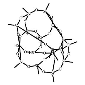 C[Si]12O[SiH]3O[SiH]4O[SiH]5O[SiH](O3)O[Si]3(C)O[Si](C)(O1)O[Si]1(C)O[Si]6(C)O[Si](C)(O2)O[Si](C)(O4)O[Si]2(C)O[Si](C)(O5)O[Si](C)(O3)O[Si](C)(O1)O[Si](C)(O2)O6